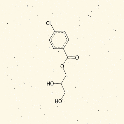 O=C(OCC(O)CO)c1ccc(Cl)cc1